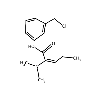 CC/C=C(\C(=O)O)N(C)C.ClCc1ccccc1